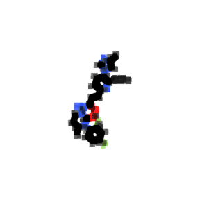 COc1nc(C=CC(=O)NN2CCC(C)N(c3ccc(F)cc3F)C2=O)ccc1-n1cnc(C)c1